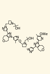 COc1ncc(-n2nc(-c3cnn(C[C@@H]4CC(COc5ncc(-n6nc(-c7cnn(C[C@H]8CCN(CC(C)(C)O)C8)c7)c7c6CCOCC7)cc5C)N(CC(C)(C)O)C4)c3)c3c2CCOCC3)cc1C